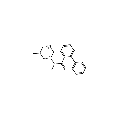 CC(C)C[C@H](CN)N(C)C(=O)c1ccccc1-c1ccccc1